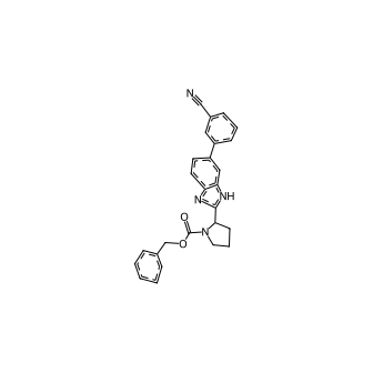 N#Cc1cccc(-c2ccc3nc(C4CCCN4C(=O)OCc4ccccc4)[nH]c3c2)c1